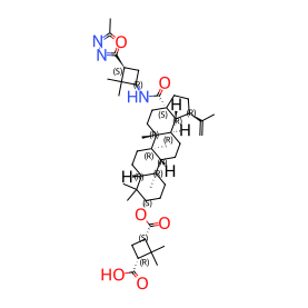 C=C(C)[C@@H]1CC[C@]2(C(=O)N[C@@H]3C[C@H](c4nnc(C)o4)C3(C)C)CC[C@]3(C)[C@H](CC[C@@H]4[C@@]5(C)CC[C@H](OC(=O)[C@H]6C[C@@H](C(=O)O)C6(C)C)C(C)(C)[C@@H]5CC[C@]43C)[C@@H]12